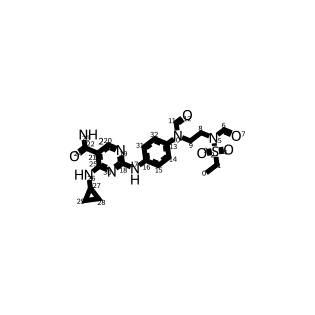 CCS(=O)(=O)N(C=O)CCN(C=O)c1ccc(Nc2ncc(C(N)=O)c(NC3CC3)n2)cc1